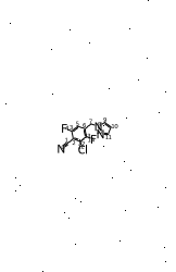 N#Cc1c(F)cc(Cn2cccn2)c(F)c1Cl